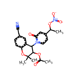 CC(=O)OC1C(n2ccc(C(C)O[N+](=O)[O-])cc2=O)c2cc(C#N)ccc2OC1(C)C